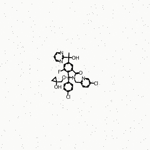 CC(O)(c1cc(F)c2c(c1)C(=O)N(Cc1ccc(Cl)cn1)[C@@]2(OCC1(O)CC1)c1ccc(Cl)cc1)c1ncccn1